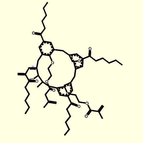 C=C(C)CC(=O)OCCOc1c2cc(C(=O)CCCCC)cc1Cc1cc(C(=O)CCCCC)cc(c1O)Cc1cc(C(=O)CCCCC)cc(c1OCCOC(=O)C(=C)C)CC(C)C(O)/C(=C\C(=C)C(=O)CCCCC)C2